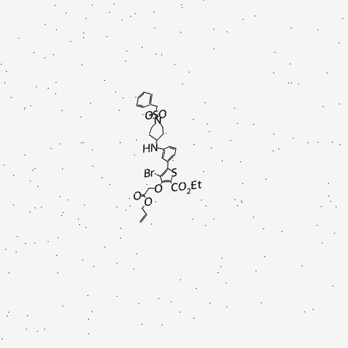 C=CCOC(=O)COc1c(C(=O)OCC)sc(-c2cccc(NC3CCN(S(=O)(=O)Cc4ccccc4)CC3)c2)c1Br